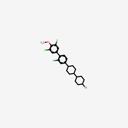 CCC1CCC(C2CCC(c3ccc(-c4cc(F)c(OC(F)(F)F)c(F)c4)c(F)c3)CC2)CC1